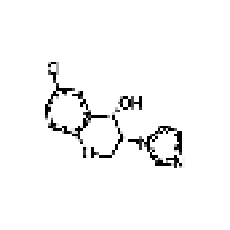 O[C@H]1c2cc(Cl)ccc2OC[C@@H]1n1ccnc1